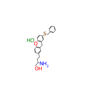 Cl.NC(CO)CCc1ccc2c(c1)Cc1cc(SCc3ccccc3)ccc1O2